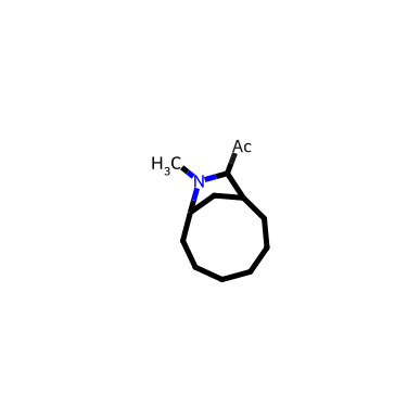 CC(=O)C1C2CCCCCCC(C2)N1C